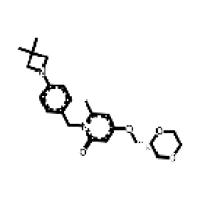 Cc1cc(OC[C@H]2COCCO2)cc(=O)n1Cc1ccc(N2CC(C)(C)C2)cc1